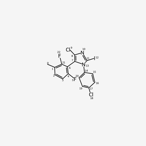 Cc1ccc(F)c(-c2c(Cl)nc(I)n2-c2ccc(Cl)cc2)c1F